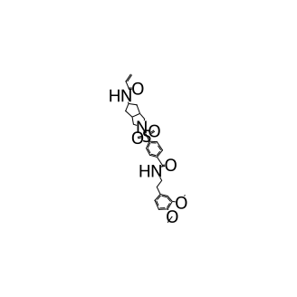 C=CC(=O)NC1CC2CN(S(=O)(=O)c3ccc(C(=O)NCCc4ccc(OC)c(OC)c4)cc3)CC2C1